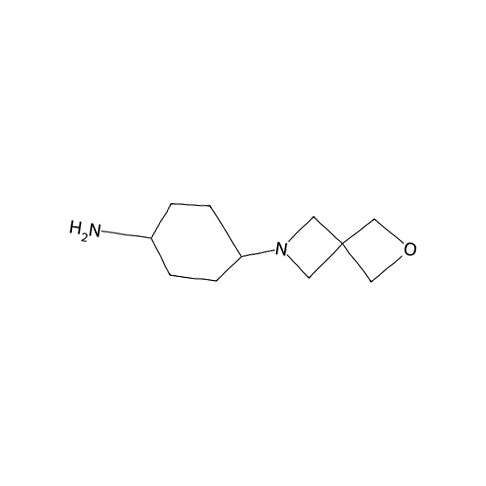 NC1CCC(N2CC3(COC3)C2)CC1